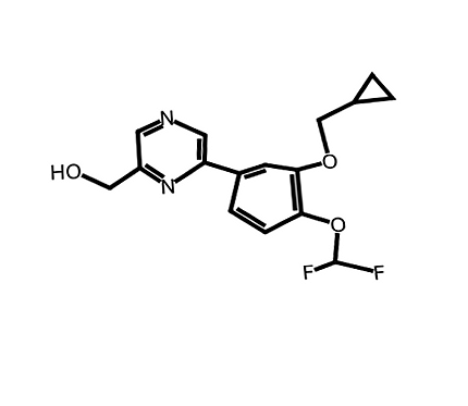 OCc1cncc(-c2ccc(OC(F)F)c(OCC3CC3)c2)n1